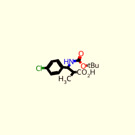 CC(C(=O)O)C(NC(=O)OC(C)(C)C)c1ccc(Cl)cc1